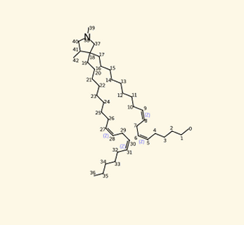 CCCCC/C=C\C/C=C\CCCCCCCCC1(CCCCCCCC/C=C\C/C=C\CCCCC)CN(C)CC1C